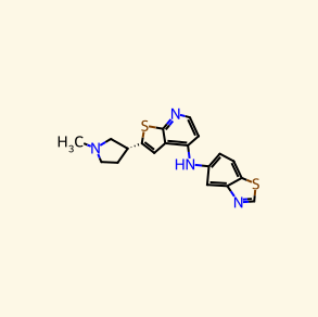 CN1CC[C@@H](c2cc3c(Nc4ccc5scnc5c4)ccnc3s2)C1